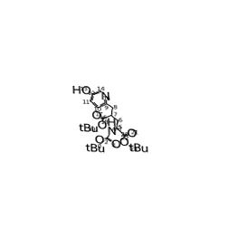 CC(C)(C)OC(=O)N[C@@H](CC(Cc1ccc(O)cn1)C(=O)OC(C)(C)C)C(=O)OC(C)(C)C